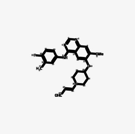 COc1cc2ncnc(Nc3ccc(F)c(C)c3)c2cc1OC1CCN(C=CC=O)CC1